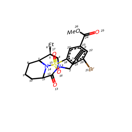 C#CCN1C[C@H](CC)C2CCCC(C1=O)N2S(=O)(=O)c1cc(Br)cc(C(=O)OC)c1